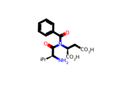 CC(C)[C@H](N)C(=O)N(C(=O)c1ccccc1)[C@@H](CC(=O)O)C(=O)O